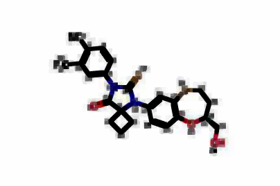 N#Cc1ccc(N2C(=O)C3(CCC3)N(c3ccc4c(c3)SCC[C@@H](CO)O4)C2=S)cc1C(F)(F)F